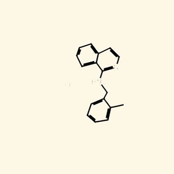 Cc1ccccc1CNc1nccc2ccccc12.Cl